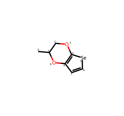 CC1COc2[se]ccc2O1